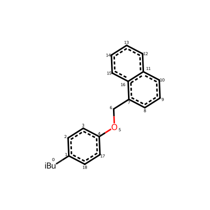 CCC(C)c1ccc(OCc2cccc3ccccc23)cc1